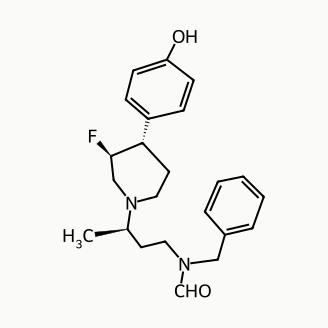 C[C@H](CCN(C=O)Cc1ccccc1)N1CC[C@@H](c2ccc(O)cc2)[C@H](F)C1